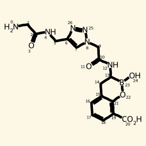 NCC(=O)NCc1cn(CC(=O)NC2Cc3cccc(C(=O)O)c3OB2O)nn1